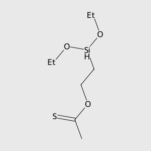 CCO[SiH](CCOC(C)=S)OCC